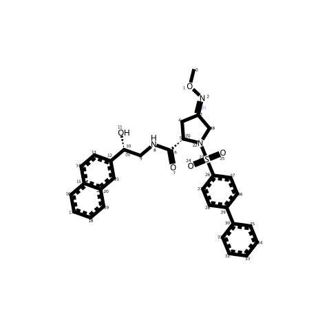 CO/N=C1\C[C@@H](C(=O)NC[C@@H](O)c2ccc3ccccc3c2)N(S(=O)(=O)c2ccc(-c3ccccc3)cc2)C1